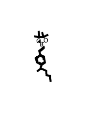 CCCCC(C)c1ccc(/C=C/B2OC(C)(C)C(C)(C)O2)cc1